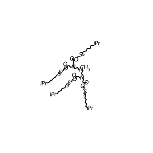 CC(C)CCCCCCSSCCOC(=O)CCN(CCCN(C)CCCN(CCC(=O)OCCSSCCCCCCC(C)C)CCC(=O)OCCSSCCCCCCC(C)C)CCC(=O)OCCSSCCCCCCC(C)C